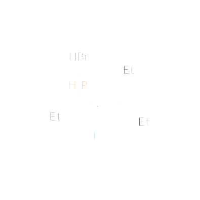 Br.CCC(CC)C(F)(P)CC